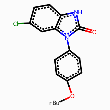 CCCCOc1ccc(-n2c(=O)[nH]c3ccc(Cl)cc32)cc1